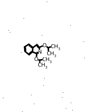 CC(C)Oc1cc2ccccc2c(OC(C)C)n1